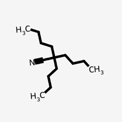 CCCCC(C#N)(CCCC)CCCC